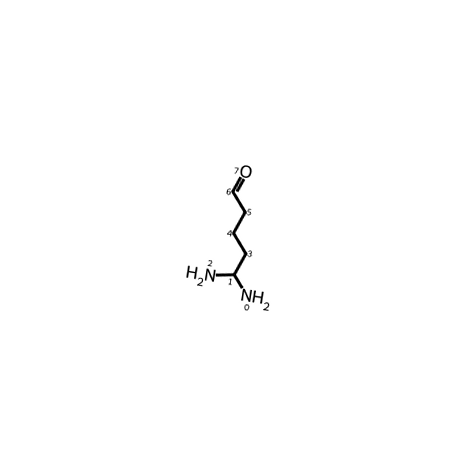 NC(N)CCCC=O